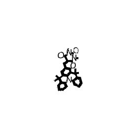 CN1C(=O)C(=Cc2cc3c4c(c2)C(C)(C)c2ccccc2N4c2ccccc2C3(C)C)C(=O)N(C)C1=O